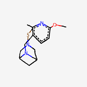 COc1ccc(CN2C3CC2CN(SC)C3)c(C)n1